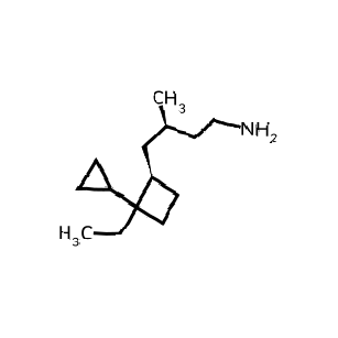 CCC1(C2CC2)CC[C@@H]1C[C@@H](C)CCN